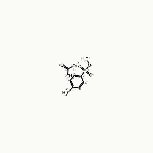 CC(=O)O.COS(=O)(=O)c1ccc(C)cc1